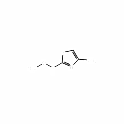 CONc1nc(C)cs1